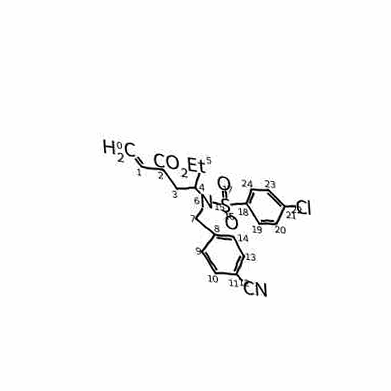 C=CCCC(C(=O)OCC)N(Cc1ccc(C#N)cc1)S(=O)(=O)c1ccc(Cl)cc1